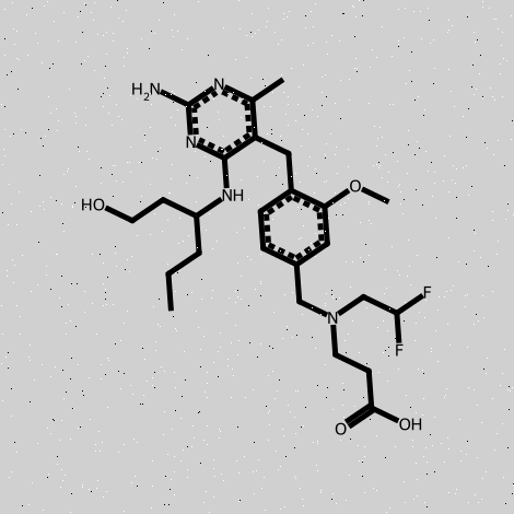 CCCC(CCO)Nc1nc(N)nc(C)c1Cc1ccc(CN(CCC(=O)O)CC(F)F)cc1OC